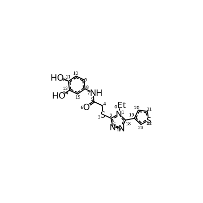 CCn1c(SCC(=O)Nc2ccc(O)c(O)c2)nnc1-c1ccsc1